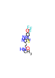 CNC(=O)C=Cc1cnc(N)c2c(-c3ccc(OC(F)(F)F)cc3)csc12